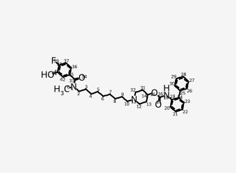 CN(CCCCCCCCCN1CCC(OC(=O)Nc2ccccc2-c2ccccc2)CC1)C(=O)c1ccc(F)c(O)c1